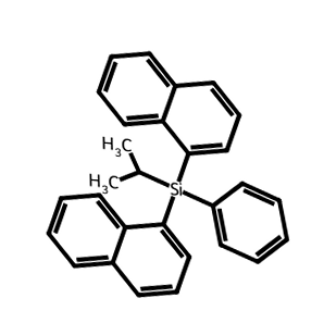 CC(C)[Si](c1ccccc1)(c1cccc2ccccc12)c1cccc2ccccc12